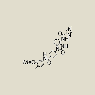 COc1cc(NC(=O)C2CCC(n3c(=O)[nH]c4c(NC(=O)c5cn(C)cn5)cccc43)CC2)ccc1C